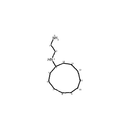 NCCNC1CCCCCCCCCC1